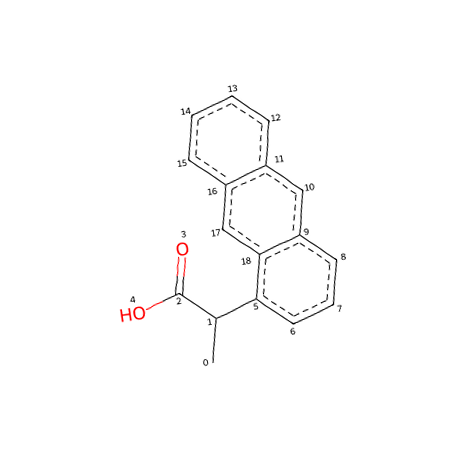 CC(C(=O)O)c1cccc2cc3ccccc3cc12